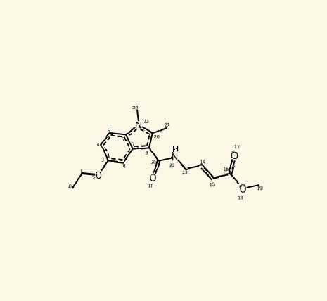 CCOc1ccc2c(c1)c(C(=O)NC/C=C/C(=O)OC)c(C)n2C